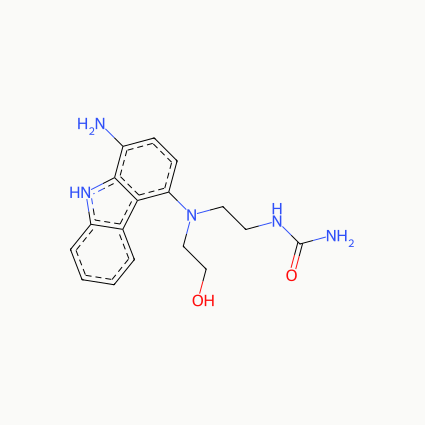 NC(=O)NCCN(CCO)c1ccc(N)c2[nH]c3ccccc3c12